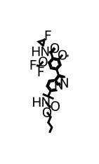 CCCCOC(=O)NC(C)(C)c1ccc2c(-c3cc(OC)c(C(=O)NC4CC4F)c(OC(F)F)c3)cnn2c1